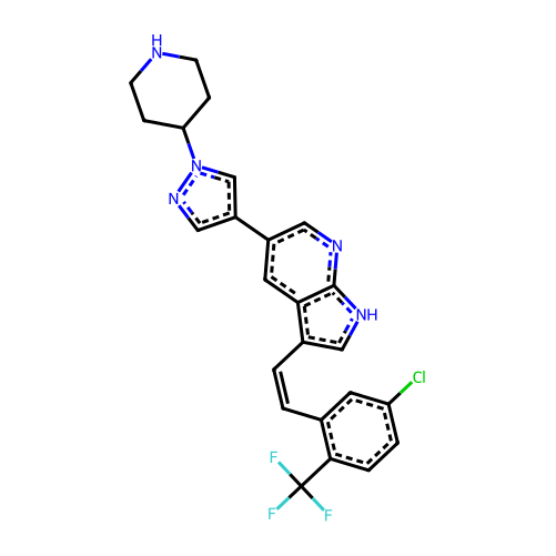 FC(F)(F)c1ccc(Cl)cc1/C=C\c1c[nH]c2ncc(-c3cnn(C4CCNCC4)c3)cc12